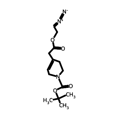 CC(C)(C)OC(=O)N1CC=C(CC(=O)OCC=[N+]=[N-])CC1